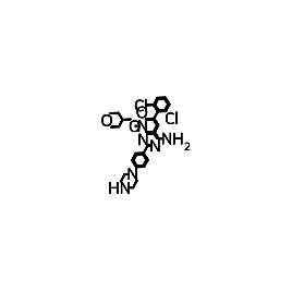 Nc1nc(-c2ccc(N3CCNCC3)cc2)nc2c1cc(-c1c(Cl)cccc1Cl)c(=O)n2OCC1CCOCC1